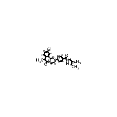 CCC(C)CNC(=O)c1ccc(N2CCN(C(=O)C(C)c3ccc(Cl)cc3)CC2)nc1